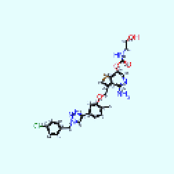 Cc1ccc(-c2cn(Cc3ccc(Cl)cc3)nn2)cc1OCc1csc2c(OC(=O)NCCO)cnc(N)c12